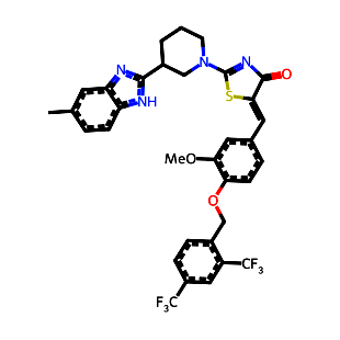 COc1cc(C=C2SC(N3CCCC(c4nc5cc(C)ccc5[nH]4)C3)=NC2=O)ccc1OCc1ccc(C(F)(F)F)cc1C(F)(F)F